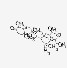 CC1C(=O)CCC2(C)C1CCC1(C)C2CC=C2C3CC(C)(C)CCC3(CC3OC(CO)C4OC4C3O)CC[C@]21C